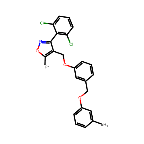 Bc1cccc(OCc2cccc(OCc3c(-c4c(Cl)cccc4Cl)noc3C(C)C)c2)c1